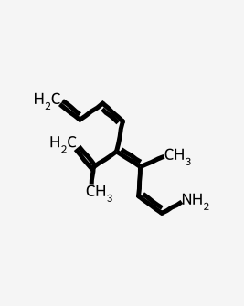 C=C\C=C/C(C(=C)C)=C(C)/C=C\N